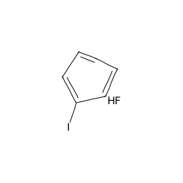 F.Ic1ccccc1